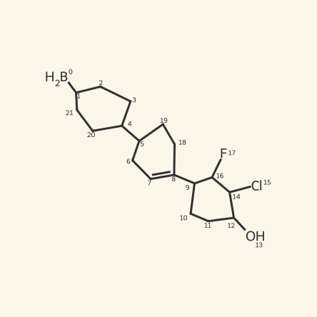 BC1CCC(C2CC=C(C3CCC(O)C(Cl)C3F)CC2)CC1